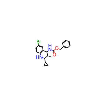 C[C@@H]1C(NC(=O)OCc2ccccc2)c2cc(Br)ccc2NC1C1CC1